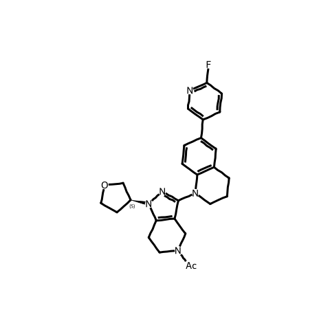 CC(=O)N1CCc2c(c(N3CCCc4cc(-c5ccc(F)nc5)ccc43)nn2[C@H]2CCOC2)C1